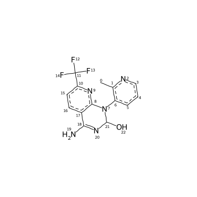 Cc1ncccc1N1c2nc(C(F)(F)F)ccc2C(N)=NC1O